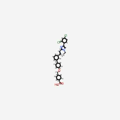 CCn1cc(-c2ccc(Cl)cc2Cl)nc1/C=C/c1cccc(-c2ccc(OCc3ccc(C(=O)O)cc3)cc2)c1